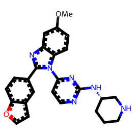 COc1ccc2c(c1)nc(-c1ccc3occc3c1)n2-c1ccnc(N[C@H]2CCCNC2)n1